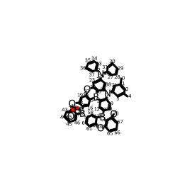 Cc1cc(C)cc(N2c3cc4c(cc3B3c5cc6c(cc5Oc5cc(N(c7ccccc7)c7ccccc7)cc2c53)Oc2cccc3c2B6c2ccccc2O3)B2c3ccccc3Oc3cccc(c32)O4)c1